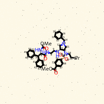 COC(=O)N[C@H](C(=O)NCCN[C@@H]1CN(Cc2ccccc2)C[C@H]1N(CCC(C)C)S(=O)(=O)c1ccc(C(=O)OC)cc1)C(c1ccccc1)c1ccccc1